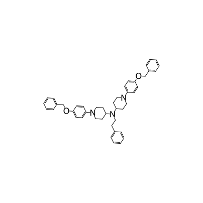 c1ccc(CCN(C2CCN(c3ccc(OCc4ccccc4)cc3)CC2)C2CCN(c3ccc(OCc4ccccc4)cc3)CC2)cc1